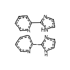 c1ccc(-c2ncc[nH]2)nc1.c1ccc(-c2ncc[nH]2)nc1